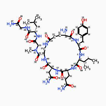 CC[C@H](C)[C@@H]1NC(=O)[C@H](Cc2ccc(O)cc2)NC(=O)[C@@H](N)CCC(=O)NC[C@@H](C(=O)N(C)CC(=O)N[C@@H](CC(C)C)C(=O)NCC(N)=O)NC(=O)[C@H](CC(N)=O)NC(=O)[C@H](CCC(N)=O)NC1=O